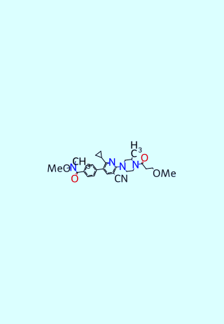 COCCC(=O)N1CCN(c2nc(C3CC3)c(-c3ccc(C(=O)N(C)OC)cc3)cc2C#N)CC1C